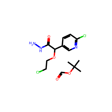 CC(C)(C)OC=O.NNC(=O)C(OCCCl)c1ccc(Cl)nc1